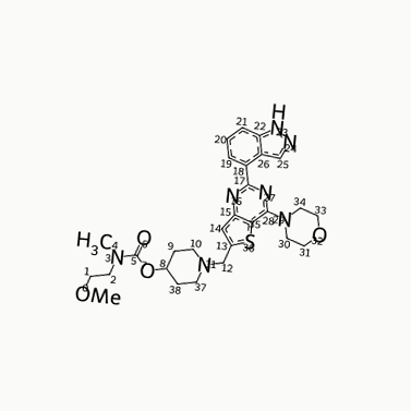 COCCN(C)C(=O)OC1CCN(Cc2cc3nc(-c4cccc5[nH]ncc45)nc(N4CCOCC4)c3s2)CC1